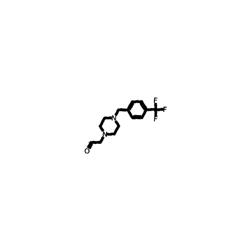 O=[C]CN1CCN(Cc2ccc(C(F)(F)F)cc2)CC1